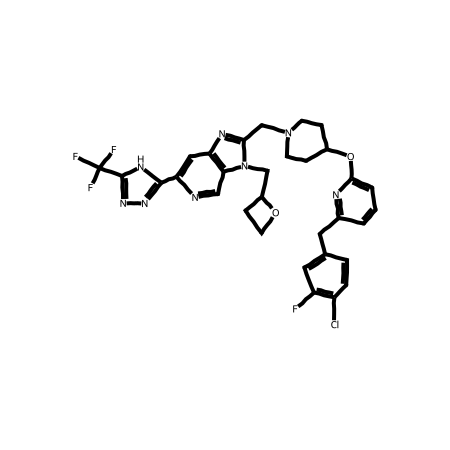 Fc1cc(Cc2cccc(OC3CCN(Cc4nc5cc(-c6nnc(C(F)(F)F)[nH]6)ncc5n4CC4CCO4)CC3)n2)ccc1Cl